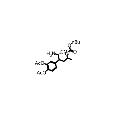 CCCCOC(=O)OC(C)CC(c1ccc(OC(C)=O)c(OC(C)=O)c1)[C@H](N)C(=O)O